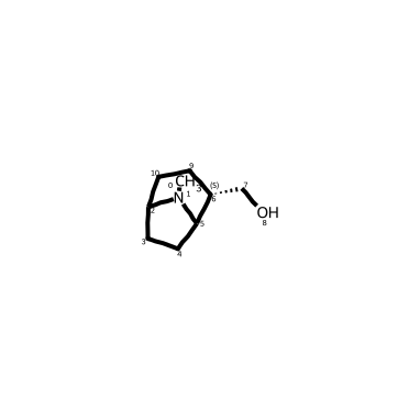 CN1C2CCC1[C@@H](CO)CC2